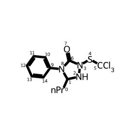 CCCC1NN(SC(Cl)(Cl)Cl)C(=O)N1c1ccccc1